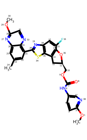 COc1ccc(NC(=O)OC[C@H]2Cc3c(c(F)cc4nc(-c5cc(C)cc6nc(OC)cnc56)sc34)O2)cn1